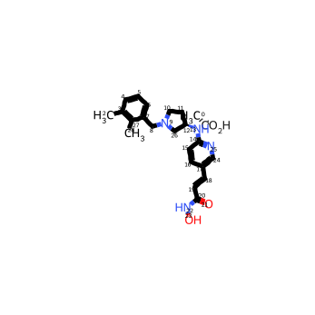 CC(=O)O.Cc1cccc(CN2CC[C@@H](Nc3ccc(C=CC(=O)NO)cn3)C2)c1C